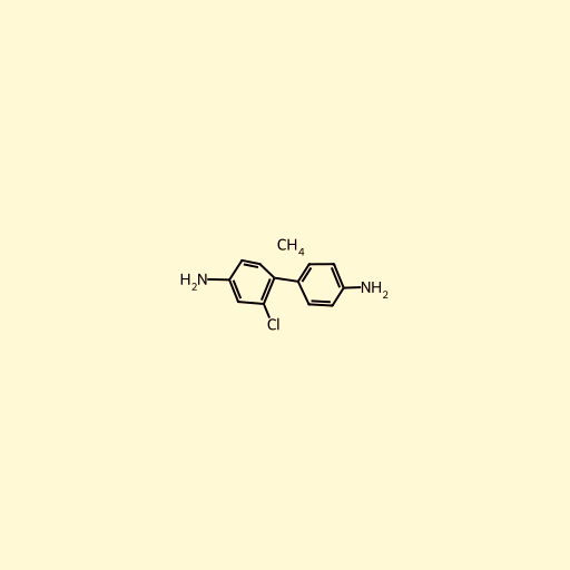 C.Nc1ccc(-c2ccc(N)cc2Cl)cc1